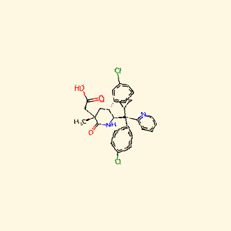 C[C@@]1(CC(=O)O)C[C@H](c2cccc(Cl)c2)[C@@H](C(c2ccc(Cl)cc2)(c2ccccn2)C2CC2)NC1=O